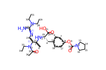 C=C(N[C@@H](Cc1ccc(OC(=O)N2CCCC2)cc1)C(=O)O)/C(=C\N=C(/N)N(CC)CC)N(CC)C(C)=O